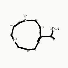 CC(O)C1=CCCCCCCCCCC1